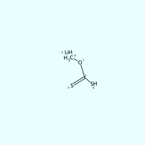 COC(=S)S.[LiH]